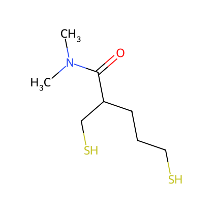 CN(C)C(=O)C(CS)CCCS